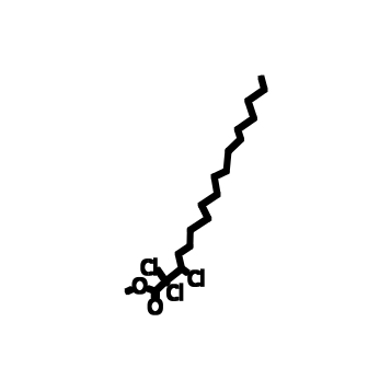 CCCCCCCCCCCCCCCC(Cl)C(Cl)(Cl)C(=O)OC